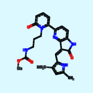 CCOC(=O)c1cc(C)[nH]c1/C=C1\C(=O)Nc2ccc(-c3cccc(=O)n3CCCNC(=O)OC(C)(C)C)nc21